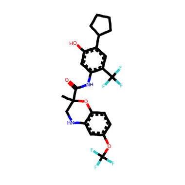 CC1(C(=O)Nc2cc(O)c(C3CCCC3)cc2C(F)(F)F)CNc2cc(OC(F)(F)F)ccc2O1